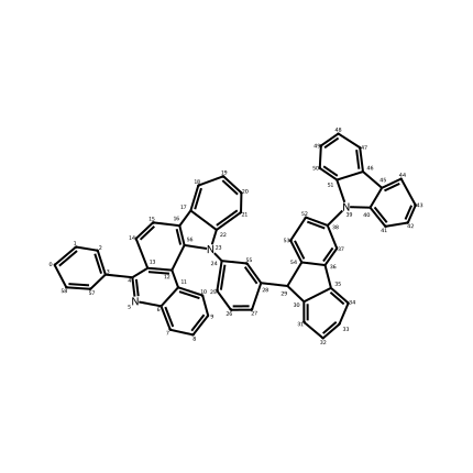 c1ccc(-c2nc3ccccc3c3c2ccc2c4ccccc4n(-c4cccc(C5c6ccccc6-c6cc(-n7c8ccccc8c8ccccc87)ccc65)c4)c23)cc1